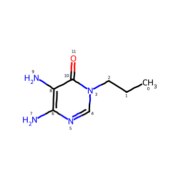 CCCn1cnc(N)c(N)c1=O